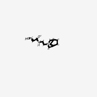 O=C(C=NO)NCCN1CC2CCC(C2)C1